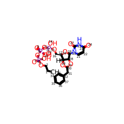 CCCOP(=O)(O)OP(=O)(O)OP(=O)(O)OC[C@H]1O[C@@H](n2ccc(=O)[nH]c2=O)C2OC(Cc3ccccc3)O[C@H]21